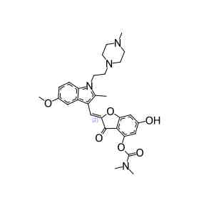 COc1ccc2c(c1)c(/C=C1\Oc3cc(O)cc(OC(=O)N(C)C)c3C1=O)c(C)n2CCN1CCN(C)CC1